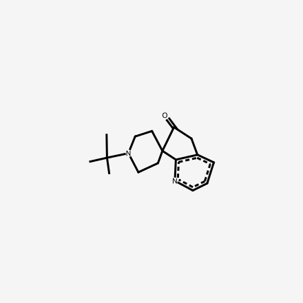 CC(C)(C)N1CCC2(CC1)C(=O)Cc1cccnc12